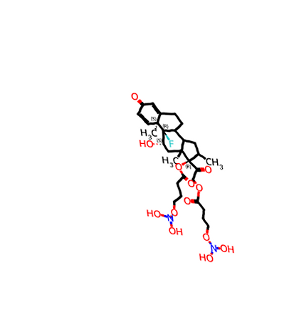 CC1CC2C3CCC4=CC(=O)C=C[C@]4(C)[C@@]3(F)[C@@H](O)CC2(C)[C@@]1(OC(=O)CCCON(O)O)C(=O)COC(=O)CCCON(O)O